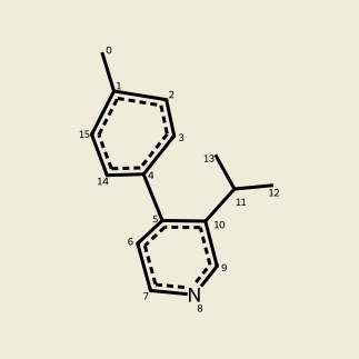 Cc1ccc(-c2ccncc2C(C)C)cc1